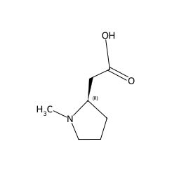 CN1CCC[C@@H]1CC(=O)O